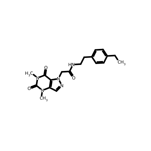 CCc1ccc(CCNC(=O)Cn2ncc3c2c(=O)n(C)c(=O)n3C)cc1